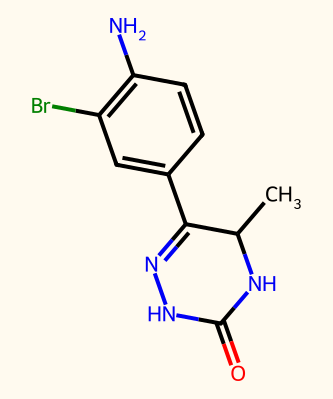 CC1NC(=O)NN=C1c1ccc(N)c(Br)c1